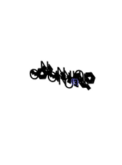 CCCN(Nc1ccccc1)/C(C)=C(\C=O)C(=O)Nc1ncc(Oc2ccnc3cc(OC)ccc23)cn1